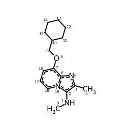 CNc1c(C)nc2c(OCC3CCCCC3)cccn12